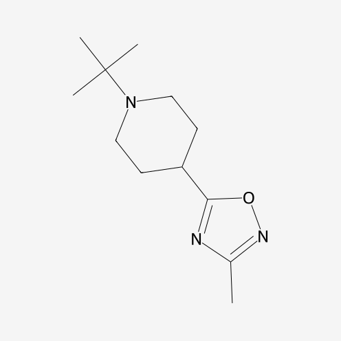 Cc1noc(C2CCN(C(C)(C)C)CC2)n1